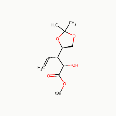 C=C[C@H]([C@@H]1COC(C)(C)O1)[C@H](O)C(=O)OC(C)(C)C